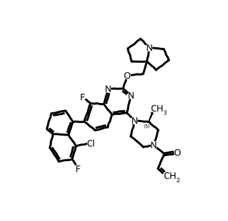 C=CC(=O)N1CCN(c2nc(OCC34CCCN3CCC4)nc3c(F)c(-c4cccc5ccc(F)c(Cl)c45)ccc23)[C@@H](C)C1